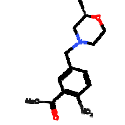 COC(=O)c1cc(CN2CCO[C@@H](C)C2)ccc1[N+](=O)[O-]